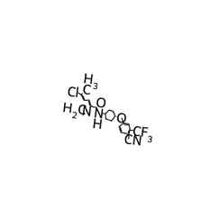 C=N/C(=C\C=C(/C)Cl)C(=O)N[C@H]1CC[C@H](Oc2ccc(C#N)c(C(F)(F)F)c2)CC1